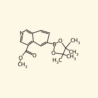 COC(=O)c1cncc2ccc(B3OC(C)(C)C(C)(C)O3)cc12